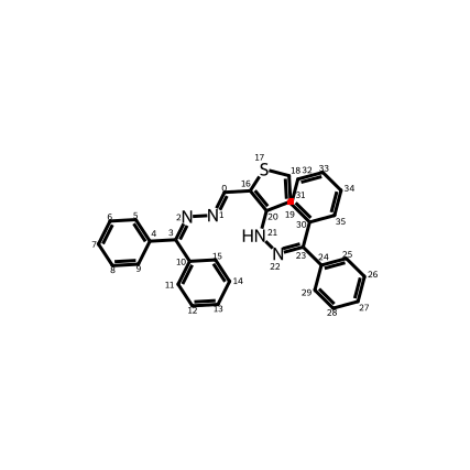 C(=NN=C(c1ccccc1)c1ccccc1)c1sccc1NN=C(c1ccccc1)c1ccccc1